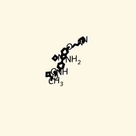 CC(OC(=O)Nc1ccc(-c2c(N)c3cc(OCCCn4ccnc4)ccc3n2C2CCC2)cc1)C1CCC1